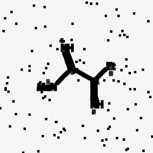 CCC(=N)C(=N)NC